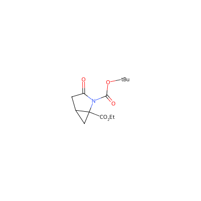 CCOC(=O)C12CC1CC(=O)N2C(=O)OC(C)(C)C